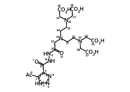 CC(=O)c1[nH]nnc1C(=O)NNC(=O)CN(CCN(CC(=O)O)CC(=O)O)CCN(CC(=O)O)CC(=O)O